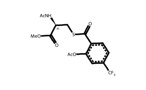 COC(=O)[C@H](CSC(=O)c1ccc(C(F)(F)F)cc1OC(C)=O)NC(C)=O